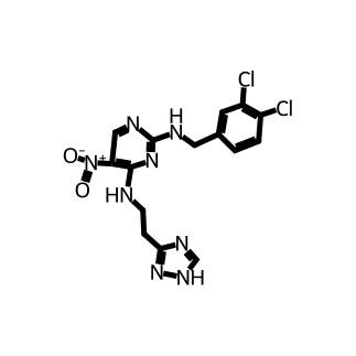 O=[N+]([O-])c1cnc(NCc2ccc(Cl)c(Cl)c2)nc1NCCc1nc[nH]n1